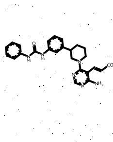 Nc1ncnc(N2CCCC(c3cccc(NC(=O)Nc4ccccc4)c3)C2)c1C=CC(=O)O